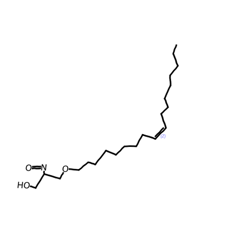 CCCCCCCC/C=C\CCCCCCCCOCC(CO)N=O